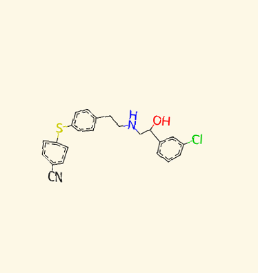 N#Cc1ccc(Sc2ccc(CCNCC(O)c3cccc(Cl)c3)cc2)cc1